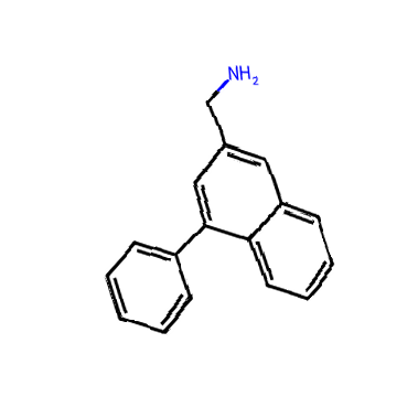 NCc1cc(-c2ccccc2)c2ccccc2c1